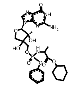 CC(NP(=O)(OCC1(O)CO[C@@H](n2cnc3c(=O)[nH]c(N)nc32)[C@]1(C)O)Oc1ccccc1)C(=O)OC1CCCCC1